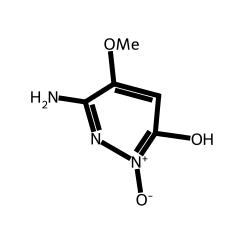 COc1cc(O)[n+]([O-])nc1N